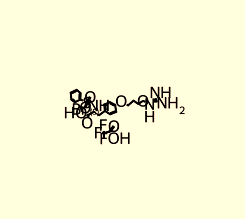 N=C(N)NOCCCOc1ccc(C[C@H](NS(=O)(=O)c2ccccc2Br)C(=O)O)cc1.O=C(O)C(F)(F)F